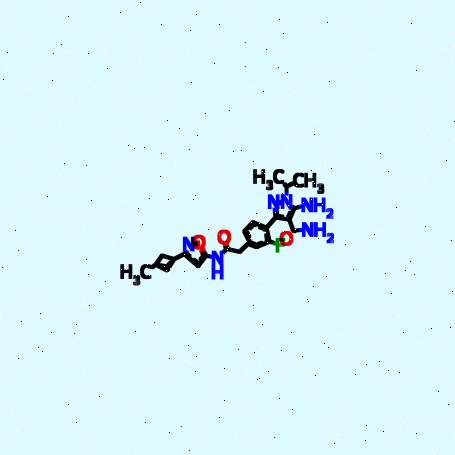 CC(C)n1nc(-c2ccc(CC(=O)Nc3cc(C45CC(C)(C4)C5)no3)cc2F)c(C(N)=O)c1N